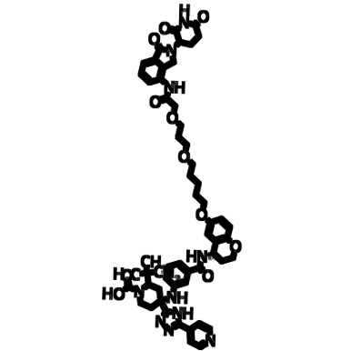 CC(C)(C)C1CC(Nc2cccc(C(=O)N[C@H]3CCOc4ccc(OCCCCCOCCCOCC(=O)Nc5cccc6c5CN(C5CCC(=O)NC5=O)C6=O)cc43)c2)(c2nnc(-c3ccncc3)[nH]2)CCN1C(=O)O